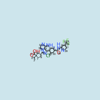 CC(C)[C@]1(C(=O)O)CC[C@H](c2nc(-c3ccc(C(=O)Nc4cc(C(F)(F)F)ccn4)cc3Cl)c3c(N)nccn23)C1